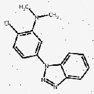 CN(C)c1cc(-n2nnc3ccccc32)ccc1Cl